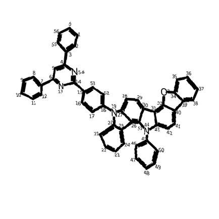 c1ccc(-c2cc(-c3ccccc3)nc(-c3ccc(-n4c5ccccc5c5c4ccc4c6c7oc8ccccc8c7ccc6n(-c6ccccc6)c45)cc3)n2)cc1